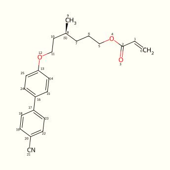 C=CC(=O)OCCC[C@H](C)CCOc1ccc(-c2ccc(C#N)cc2)cc1